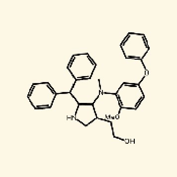 COc1ccc(Oc2ccccc2)cc1N(C)C1C(CCO)CNC1C(c1ccccc1)c1ccccc1